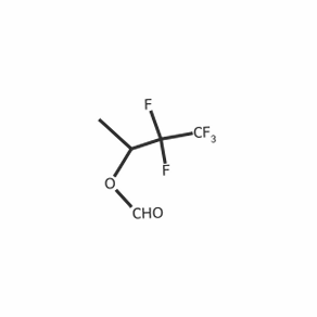 CC(OC=O)C(F)(F)C(F)(F)F